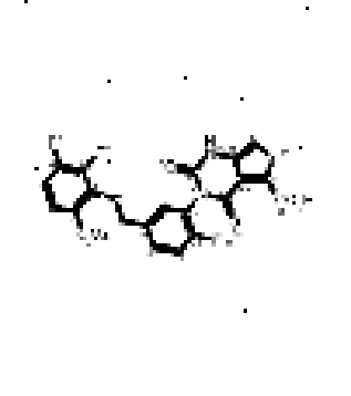 COc1ccc(F)c(F)c1CCc1ccc(F)c(-n2c(=O)[nH]c3csc(C(=O)O)c3c2=O)c1